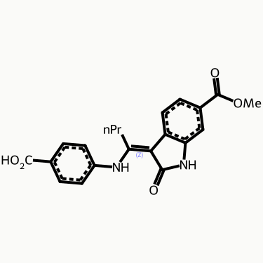 CCC/C(Nc1ccc(C(=O)O)cc1)=C1/C(=O)Nc2cc(C(=O)OC)ccc21